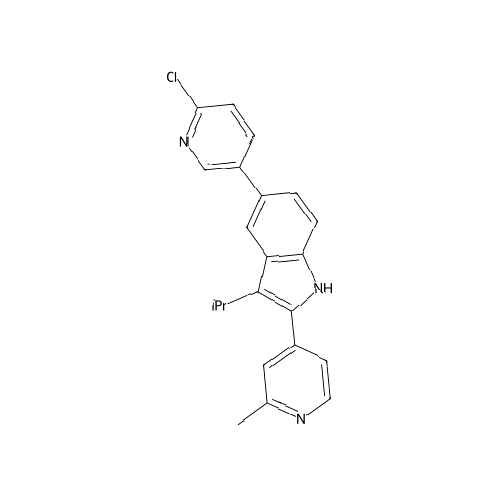 Cc1cc(-c2[nH]c3ccc(-c4ccc(Cl)nc4)cc3c2C(C)C)ccn1